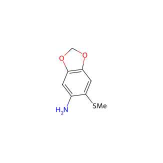 CSc1cc2c(cc1N)OCO2